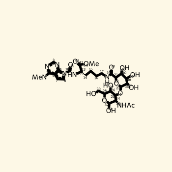 CNc1ncnc2c1ccn2C(=O)N[C@@H](CCCCNC(=O)C1OC(OC2C(O)C(CO)OC(O)C2NC(C)=O)C(O)C(O)C1O)C(=O)OC